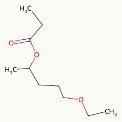 CCOCCCC(C)OC(=O)CC